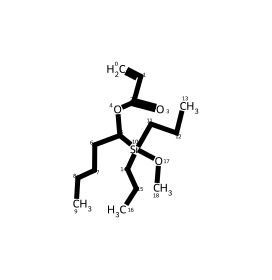 C=CC(=O)OC(CCCC)[Si](CCC)(CCC)OC